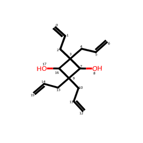 C=CCC1(CC=C)C(O)C(CC=C)(CC=C)C1O